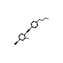 C#Cc1ccc(C#Cc2ccc(CCCC)cc2)c(C)c1